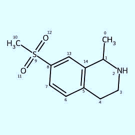 CC1NCCc2ccc(S(C)(=O)=O)cc21